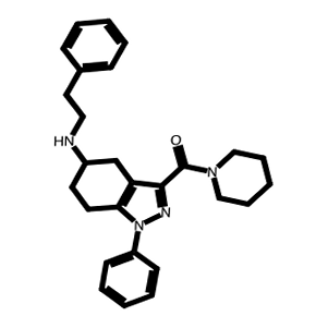 O=C(c1nn(-c2ccccc2)c2c1CC(NCCc1ccccc1)CC2)N1CCCCC1